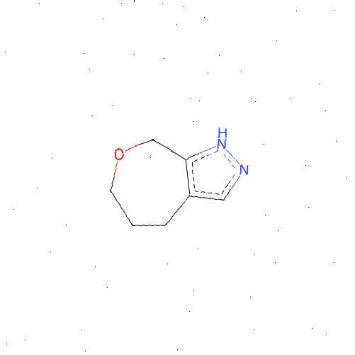 c1n[nH]c2c1CCCOC2